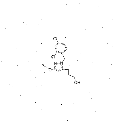 CC(C)Oc1cc(CCCO)n(Cc2ccc(Cl)cc2Cl)n1